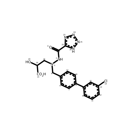 O=C(NN(Cc1ccc(-c2cccc(Cl)c2)cc1)CC(O)C(=O)O)c1nnn[nH]1